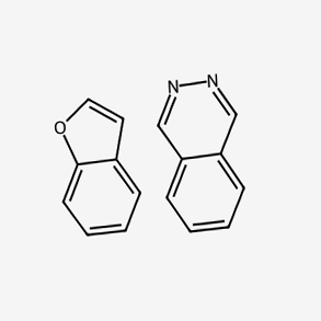 c1ccc2cnncc2c1.c1ccc2occc2c1